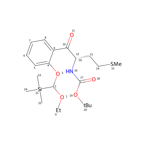 CCOC(Oc1ccccc1C(=O)[C@H](CCSC)NC(=O)OC(C)(C)C)[Si](C)(C)C